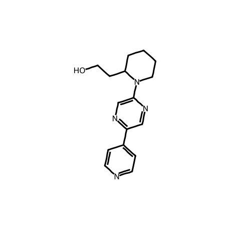 OCCC1CCCCN1c1cnc(-c2ccncc2)cn1